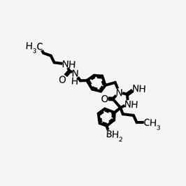 Bc1cccc(C2(CCCC)NC(=N)N(Cc3ccc(CNC(=O)NCCCC)cc3)C2=O)c1